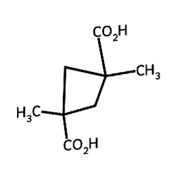 CC1(C(=O)O)CC(C)(C(=O)O)C1